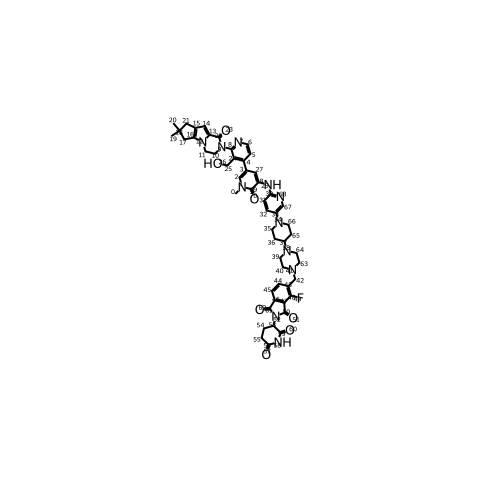 Cn1cc(-c2ccnc(N3CCn4c(cc5c4CC(C)(C)C5)C3=O)c2CO)cc(Nc2ccc(N3CCC(N4CCN(Cc5ccc6c(c5F)C(=O)N(C5CCC(=O)NC5=O)C6=O)CC4)CC3)cn2)c1=O